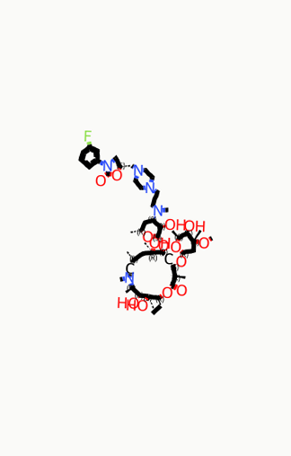 CC[C@H]1OC(=O)[C@H](C)[C@@H](O[C@H]2C[C@@](C)(OC)[C@@H](O)[C@H](C)O2)C[C@@H](O[C@@H]2O[C@H](C)C[C@H](N(C)CCN3CCN(C[C@H]4CN(c5cccc(F)c5)C(=O)O4)CC3)[C@H]2O)[C@](C)(O)C[C@@H](C)CN(C)[C@H](C)[C@@H](O)[C@]1(C)O